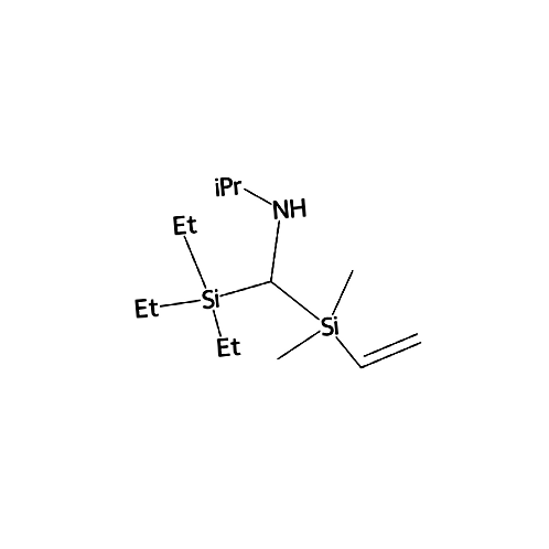 C=C[Si](C)(C)C(NC(C)C)[Si](CC)(CC)CC